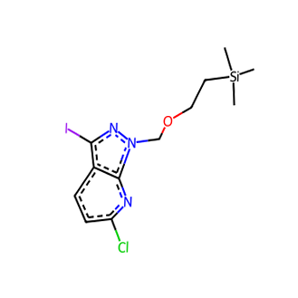 C[Si](C)(C)CCOCn1nc(I)c2ccc(Cl)nc21